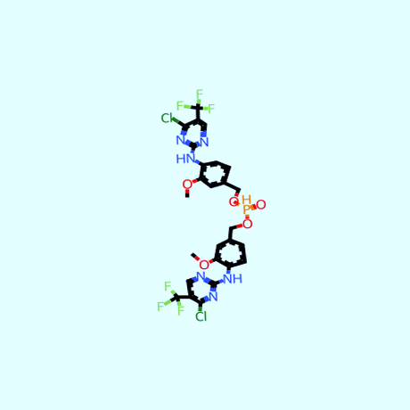 COc1cc(CO[PH](=O)OCc2ccc(Nc3ncc(C(F)(F)F)c(Cl)n3)c(OC)c2)ccc1Nc1ncc(C(F)(F)F)c(Cl)n1